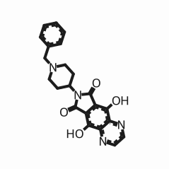 O=C1c2c(c(O)c3nccnc3c2O)C(=O)N1C1CCN(Cc2ccccc2)CC1